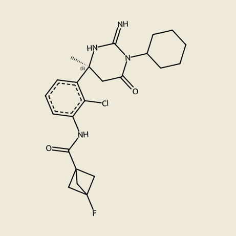 C[C@@]1(c2cccc(NC(=O)C34CC(F)(C3)C4)c2Cl)CC(=O)N(C2CCCCC2)C(=N)N1